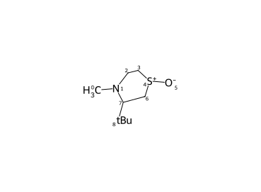 CN1CC[S+]([O-])CC1C(C)(C)C